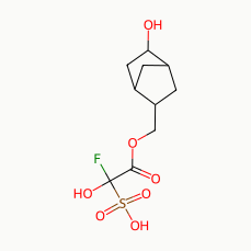 O=C(OCC1CC2CC1CC2O)C(O)(F)S(=O)(=O)O